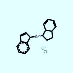 C1=CC2CC[CH]([Zr+2][CH]3C=Cc4ccccc43)C2C=C1.[Cl-].[Cl-]